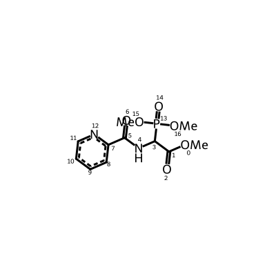 COC(=O)C(NC(=O)c1ccccn1)P(=O)(OC)OC